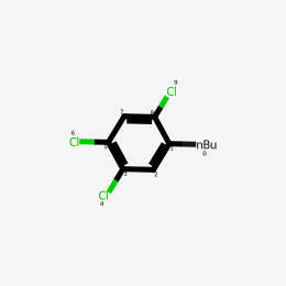 [CH2]CCCc1cc(Cl)c(Cl)cc1Cl